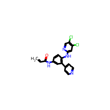 C=CC(=O)Nc1ccc(Nc2cc(Cl)c(Cl)cn2)c(-c2ccncc2)c1